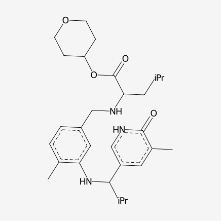 Cc1ccc(CNC(CC(C)C)C(=O)OC2CCOCC2)cc1NC(c1c[nH]c(=O)c(C)c1)C(C)C